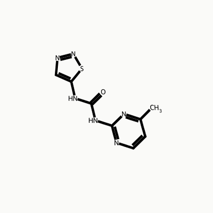 Cc1ccnc(NC(=O)Nc2cnns2)n1